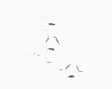 CNC(CCOc1ccc(F)cc1)c1cccc(OC(=O)N(C)C)c1.Cl